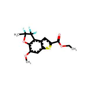 CCOC(=O)c1cc2c3c(c(OC)cc2s1)OC(C)(F)C3(F)F